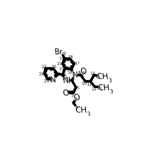 CCOC(=O)CCN(C(=O)CC(CC)CC)c1ccc(Br)cc1C(=N)c1ccccn1